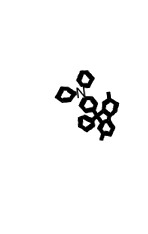 Cc1ccc2c(c1)C(c1ccccc1)(c1ccc(N(c3ccccc3)c3ccccc3)cc1)c1cc(C)ccc1-2